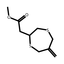 C=C1CSCC(CC(=O)OC)SC1